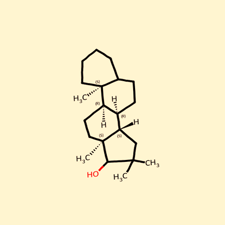 CC1(C)C[C@H]2[C@@H]3CCC4CCCC[C@]4(C)[C@@H]3CC[C@]2(C)C1O